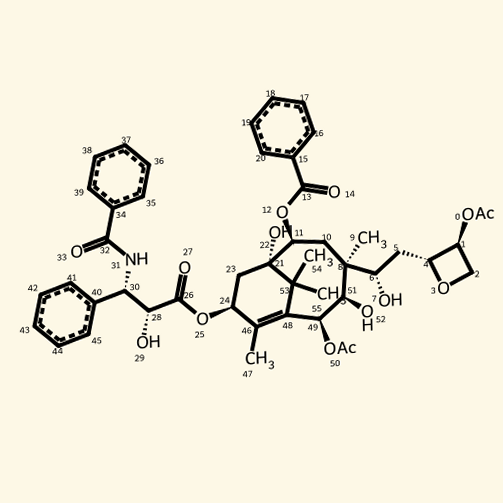 CC(=O)O[C@H]1CO[C@@H]1C[C@H](O)[C@]1(C)C[C@H](OC(=O)c2ccccc2)[C@]2(O)C[C@H](OC(=O)[C@H](O)[C@@H](NC(=O)c3ccccc3)c3ccccc3)C(C)=C([C@H](OC(C)=O)[C@@H]1O)C2(C)C